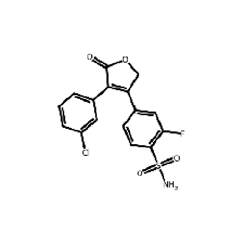 NS(=O)(=O)c1ccc(C2=C(c3cccc(Cl)c3)C(=O)OC2)cc1F